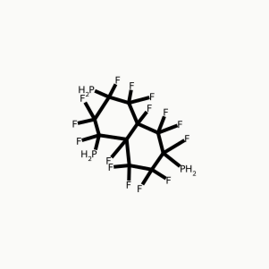 FC1(F)C(F)(F)C2(F)C(F)(P)C(F)(F)C(F)(P)C(F)(F)C2(F)C(F)(F)C1(F)P